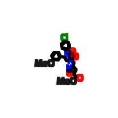 COC(=O)c1cc(CN2CC(c3cccc(OC)c3)N(c3ccc(Cl)cc3)S2(=O)=O)no1